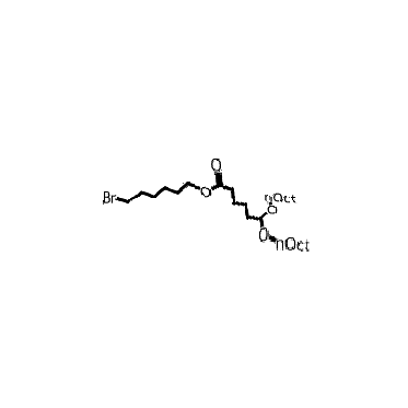 CCCCCCCCOC(CCCCC(=O)OCCCCCCBr)OCCCCCCCC